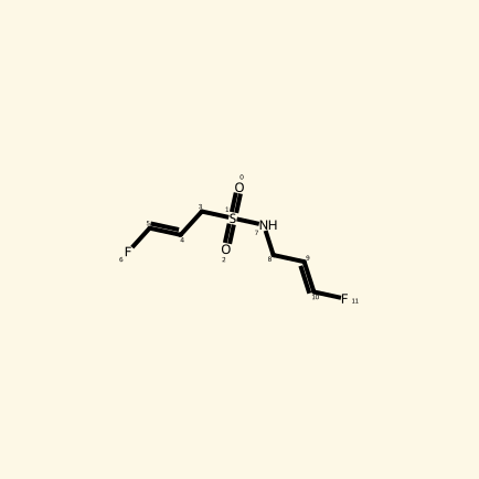 O=S(=O)(CC=CF)NCC=CF